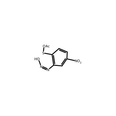 CC(=O)OSc1ccc([N+](=O)[O-])cc1/N=N\O